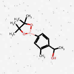 Cc1cc(B2OC(C)(C)C(C)(C)O2)ccc1C(C)O